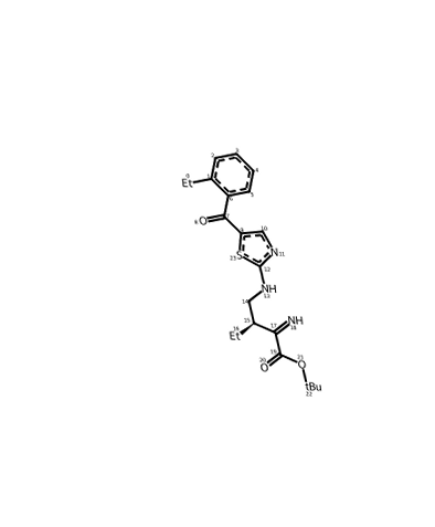 CCc1ccccc1C(=O)c1cnc(NC[C@H](CC)C(=N)C(=O)OC(C)(C)C)s1